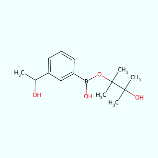 CC(O)c1cccc(B(O)OC(C)(C)C(C)(C)O)c1